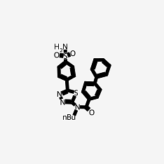 CCCCN(C(=O)c1ccc(-c2ccccc2)cc1)c1nnc(-c2ccc(S(N)(=O)=O)cc2)s1